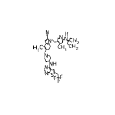 C=CC(=C)Nc1cc(C)c(CCn2c(C#N)cc3c(C)c(CN4CCC(Nc5ncnc6sc(CC(F)(F)F)cc56)CC4)ccc32)cn1